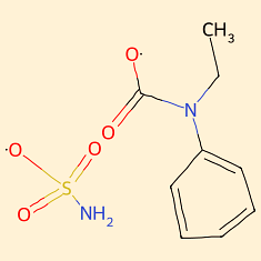 CCN(C([O])=O)c1ccccc1.NS([O])(=O)=O